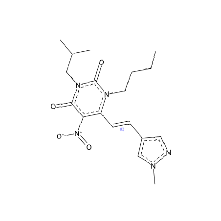 CCCCn1c(/C=C/c2cnn(C)c2)c([N+](=O)[O-])c(=O)n(CC(C)C)c1=O